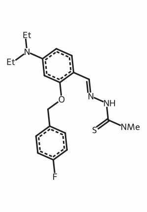 CCN(CC)c1ccc(/C=N/NC(=S)NC)c(OCc2ccc(F)cc2)c1